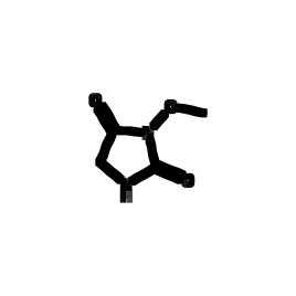 CON1C(=O)CNC1=O